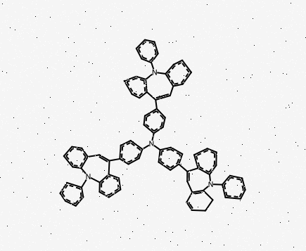 C1=CC2=C(CC1)N(c1ccccc1)c1ccccc1C(c1ccc(N(c3ccc(C4=Cc5ccccc5N(c5ccccc5)c5ccccc54)cc3)c3ccc(C4=Cc5ccccc5N(c5ccccc5)c5ccccc54)cc3)cc1)=C2